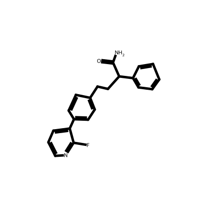 NC(=O)C(CCc1ccc(-c2cccnc2F)cc1)c1ccccc1